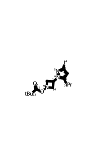 CC(C)c1cc(I)nn1C1CN(OC(=O)C(C)(C)C)C1